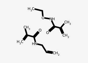 C=C(C)C(=O)NOCC.C=CCNC(=O)C(=C)C